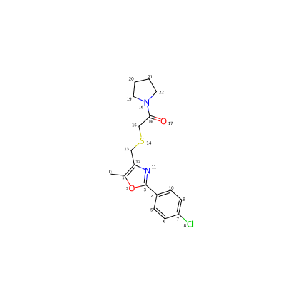 Cc1oc(-c2ccc(Cl)cc2)nc1CSCC(=O)N1CCCC1